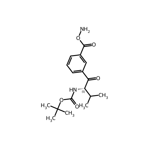 CC(C)[C@H](NC(=O)OC(C)(C)C)C(=O)c1cccc(C(=O)ON)c1